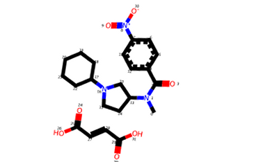 CN(C(=O)c1ccc([N+](=O)[O-])cc1)C1CCN(C2CCCCC2)C1.O=C(O)C=CC(=O)O